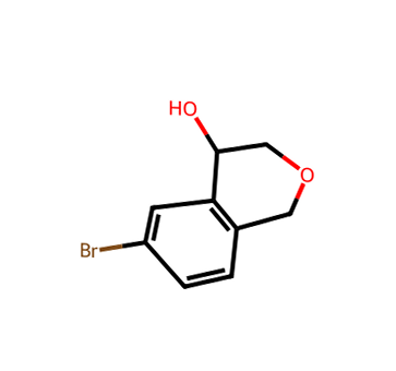 OC1COCc2ccc(Br)cc21